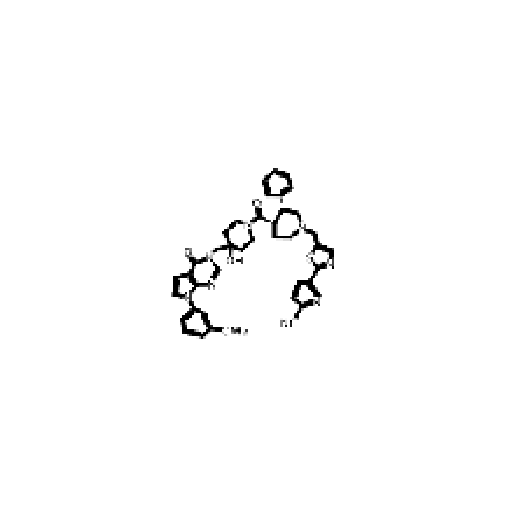 COc1cccc(-n2ccc3c(=O)n(CC4(O)CCN(C(=O)[C@@H]5CCN(Cc6cnc(-c7ccc(C#N)nc7)s6)C[C@H]5c5ccccc5)CC4)cnc32)c1